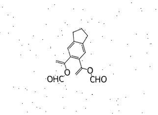 C=C(OC=O)c1cc2c(cc1C(=C)OC=O)CCC2